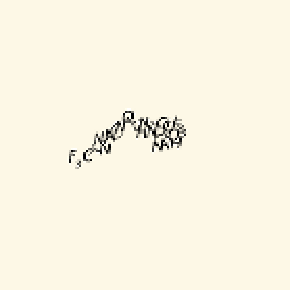 C[C@@H](CN1CC[C@@H](C(=O)N2CCN(c3ncc(C(F)(F)F)cn3)CC2)C1)Nc1cn[nH]c(=O)c1C(F)(F)F